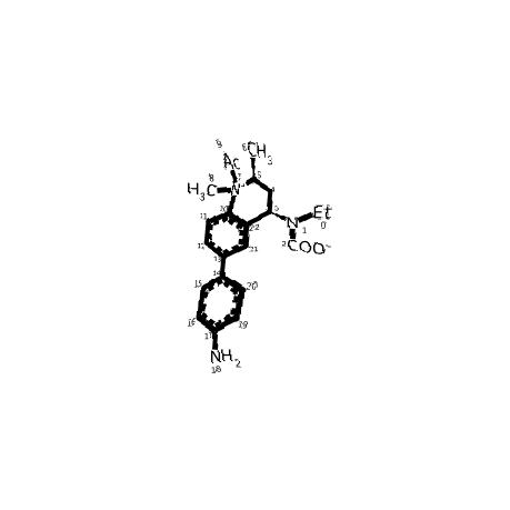 CCN(C(=O)[O-])[C@@H]1C[C@H](C)[N+](C)(C(C)=O)c2ccc(-c3ccc(N)cc3)cc21